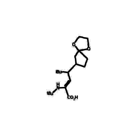 CCC(C)C(/C=C(\NC(C)(C)C)C(=O)O)C1CCC2(C1)OCCO2